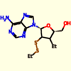 CCSSC1C(CC)[C@@H](CO)O[C@H]1n1cnc2c(N)ncnc21